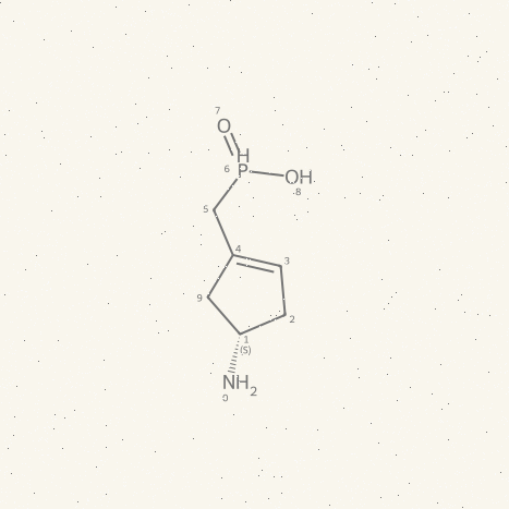 N[C@H]1CC=C(C[PH](=O)O)C1